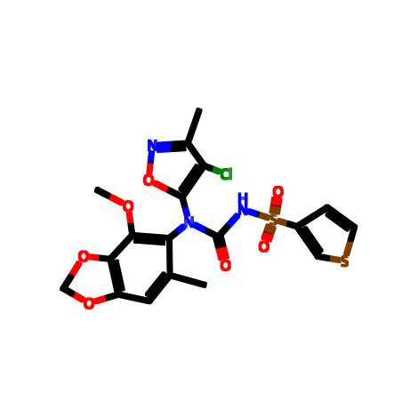 COc1c2c(cc(C)c1N(C(=O)NS(=O)(=O)c1ccsc1)c1onc(C)c1Cl)OCO2